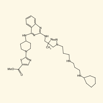 COC(=O)c1cnc(N2CCC(Nc3nc(NCC4(C)CN(CCCNCCCNC5CCCCC5)N=N4)nc4ccccc34)CC2)s1